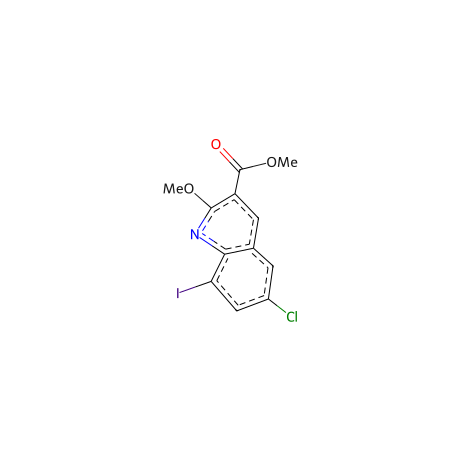 COC(=O)c1cc2cc(Cl)cc(I)c2nc1OC